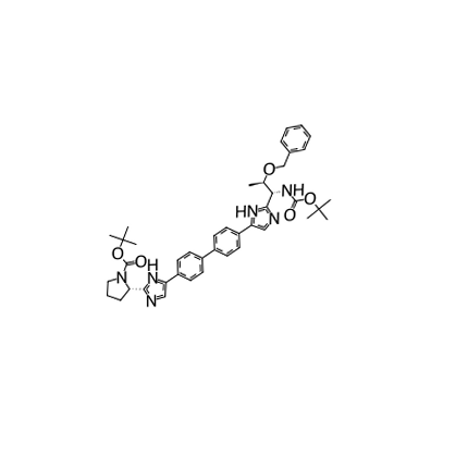 C[C@@H](OCc1ccccc1)[C@H](NC(=O)OC(C)(C)C)c1ncc(-c2ccc(-c3ccc(-c4cnc([C@@H]5CCCN5C(=O)OC(C)(C)C)[nH]4)cc3)cc2)[nH]1